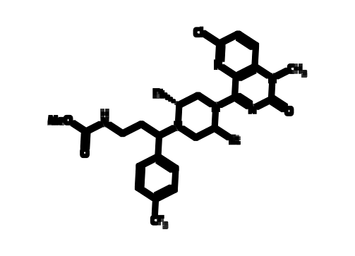 CCC1CN(C(CCNC(=O)OC)c2ccc(C(F)(F)F)cc2)[C@H](CC)CN1c1nc(=O)n(C)c2ccc(Cl)nc12